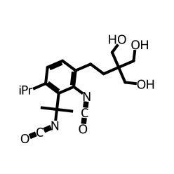 CC(C)c1ccc(CCC(CO)(CO)CO)c(N=C=O)c1C(C)(C)N=C=O